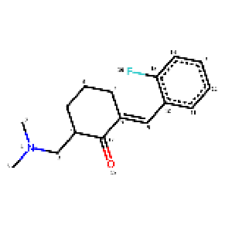 CN(C)CC1CCC/C(=C\c2ccccc2F)C1=O